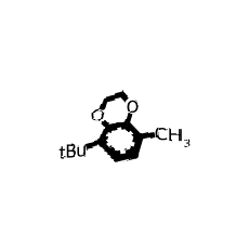 Cc1ccc(C(C)(C)C)c2c1OCCO2